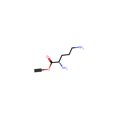 C#COC(=O)[C@H](N)CCCN